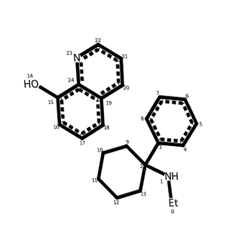 CCNC1(c2ccccc2)CCCCC1.Oc1cccc2cccnc12